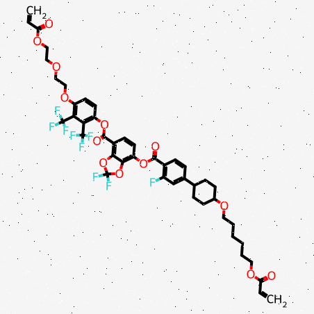 C=CC(=O)OCCCCCCOC1CCC(c2ccc(C(=O)Oc3ccc(C(=O)Oc4ccc(OCCOCCOC(=O)C=C)c(C(F)(F)F)c4C(F)(F)F)c4c3OC(F)(F)O4)c(F)c2)CC1